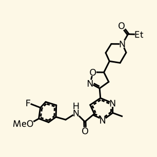 CCC(=O)N1CCC(C2CC(c3cc(C(=O)NCc4ccc(F)c(OC)c4)nc(C)n3)=NO2)CC1